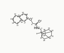 CC1(CNC(=O)COc2ccc3ccccc3c2)C2CC3CC(C2)CC1C3